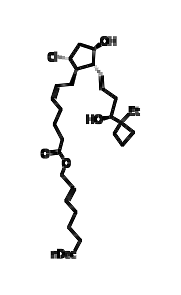 CCCCCCCCCCCCCC=CCOC(=O)CCC/C=C\C[C@@H]1[C@@H](/C=C/C[C@H](O)C2(CC)CCC2)[C@H](O)C[C@H]1Cl